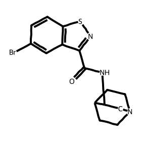 O=C(NC1CN2CCC1CC2)c1nsc2ccc(Br)cc12